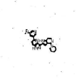 CN(C)c1cncc(-c2ccc3[nH]nc(-c4cc5c(N6CCCCC6)nccc5[nH]4)c3n2)c1